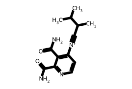 CC(C)C(C)C#[N+]c1ccnc(C(N)=O)c1C(N)=O